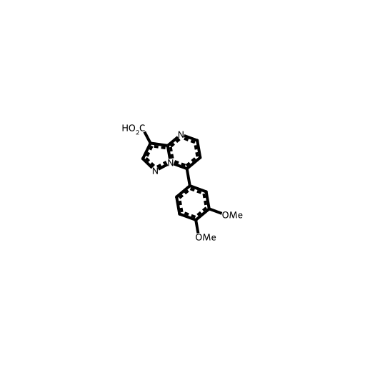 COc1ccc(-c2ccnc3c(C(=O)O)cnn23)cc1OC